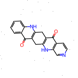 O=c1c2c([nH]c3ccccc13)Cc1c([nH]c3cnccc3c1=O)C2